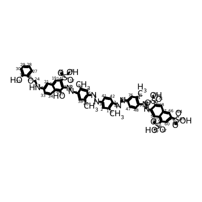 Cc1cc(N=Nc2cc(C)c(N=Nc3c(S(=O)(=O)O)cc4cc(NCOc5ccccc5O)ccc4c3O)cc2C)ccc1N=Nc1ccc(N=Nc2cc3c(S(=O)(=O)O)cc(S(=O)(=O)O)cc3cc2S(=O)(=O)O)c(C)c1